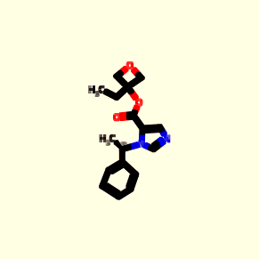 CCC1(OC(=O)c2cncn2[C@H](C)c2ccccc2)COC1